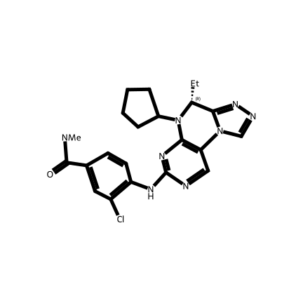 CC[C@@H]1c2nncn2-c2cnc(Nc3ccc(C(=O)NC)cc3Cl)nc2N1C1CCCC1